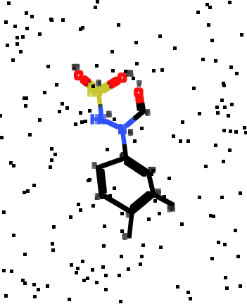 Cc1ccc(N(C=O)N[SH](=O)=O)cc1C